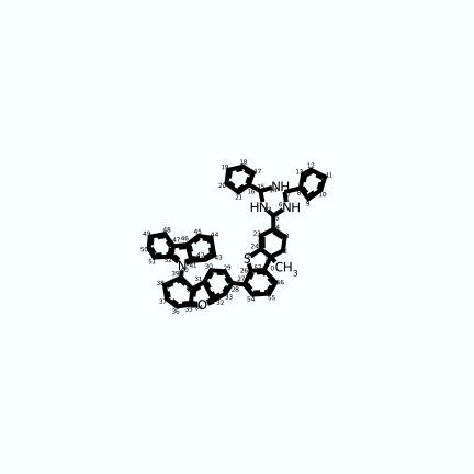 CC12CC=C(C3NC(c4ccccc4)NC(c4ccccc4)N3)C=C1Sc1c(-c3ccc4c(c3)oc3cccc(-n5c6ccccc6c6ccccc65)c34)cccc12